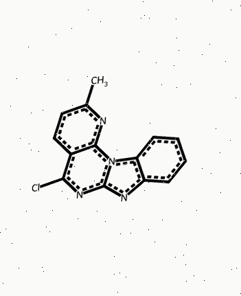 Cc1ccc2c(Cl)nc3nc4ccccc4n3c2n1